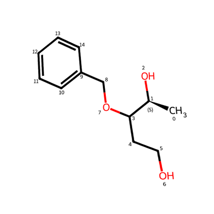 C[C@H](O)C(CCO)OCc1ccccc1